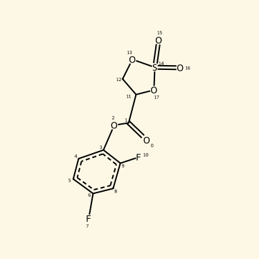 O=C(Oc1ccc(F)cc1F)C1COS(=O)(=O)O1